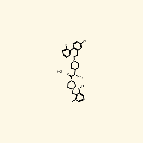 CCOc1cccc(F)c1CN1CCN(C(=O)[C@H](N)C2CCN(CCc3cc(Cl)ccc3-c3ccccc3F)CC2)CC1.Cl